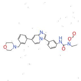 CCN(OC=O)C(=O)Nc1cccc(-c2cnc3cc(-c4cccc(CN5CCOCC5)c4)ccn23)c1